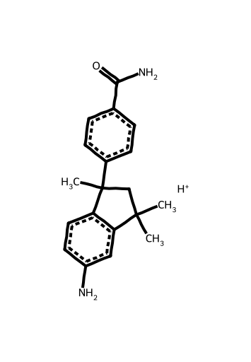 CC1(C)CC(C)(c2ccc(C(N)=O)cc2)c2ccc(N)cc21.[H+]